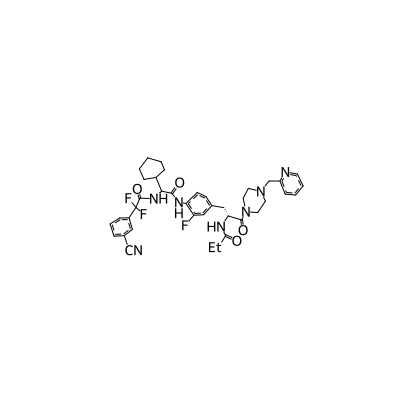 CCC(=O)N[C@H](Cc1ccc(NC(=O)[C@@H](NC(=O)C(F)(F)c2cccc(C#N)c2)C2CCCCC2)c(F)c1)C(=O)N1CCN(Cc2ccccn2)CC1